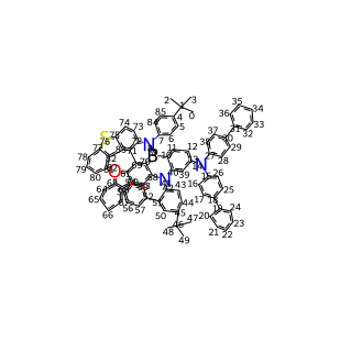 CC(C)(C)c1ccc(N2B3c4ccc(N(c5ccc(-c6ccccc6)cc5)c5ccc(-c6ccccc6)cc5)cc4N(c4ccc(C(C)(C)C)cc4-c4ccccc4)c4cc5c(oc6ccccc65)c(c43)-c3c2ccc2sc4ccccc4c32)cc1